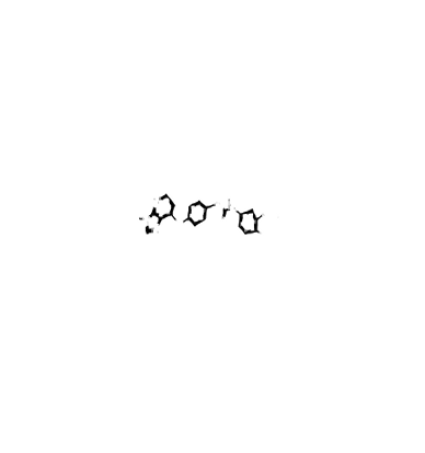 O=C(Nc1ccc(Sc2ccnc3c2[nH]c(=O)n3F)cc1)Nc1ccc(Cl)c(C(F)(F)F)c1